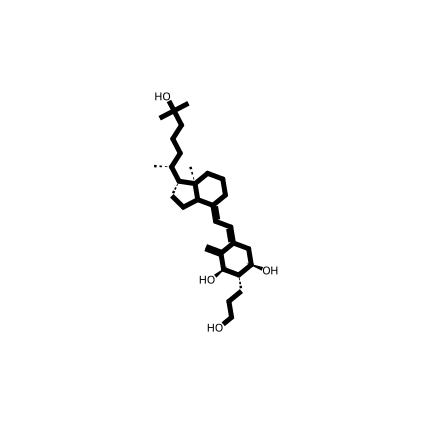 C=C1/C(=C\C=C2CCC[C@@]3(C)C2CC[C@@H]3[C@H](C)CCCC(C)(C)O)C[C@@H](O)[C@H](CCCO)[C@H]1O